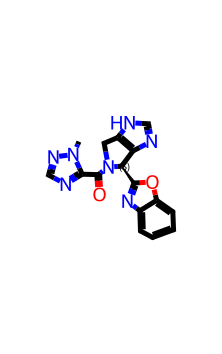 Cn1ncnc1C(=O)N1Cc2[nH]cnc2[C@H]1c1nc2ccccc2o1